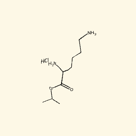 CC(C)OC(=O)C(N)CCCCN.Cl